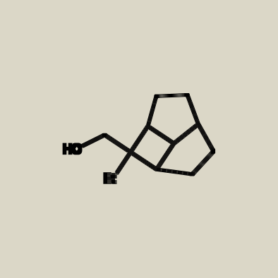 CCC1(CO)C2CCC3CCC1C32